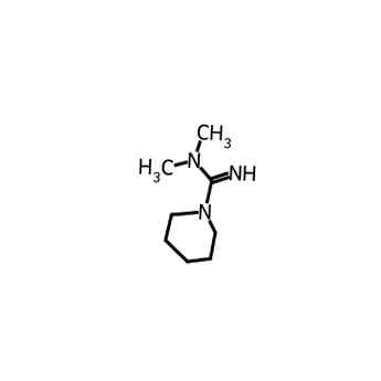 CN(C)C(=N)N1CCCCC1